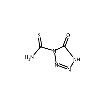 NC(=S)n1nn[nH]c1=O